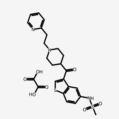 CS(=O)(=O)Nc1ccc2scc(C(=O)C3CCN(CCc4ccccn4)CC3)c2c1.O=C(O)C(=O)O